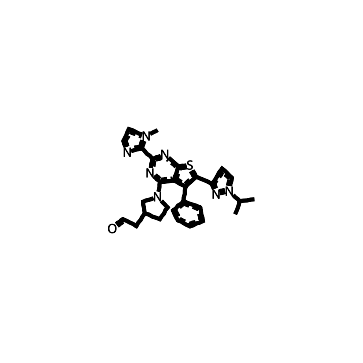 CC(C)n1ccc(-c2sc3nc(-c4nccn4C)nc(N4CCC(CC=O)C4)c3c2-c2ccccc2)n1